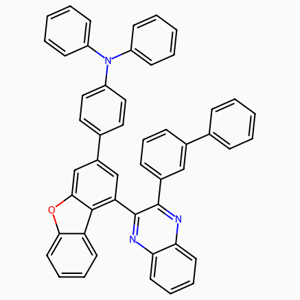 c1ccc(-c2cccc(-c3nc4ccccc4nc3-c3cc(-c4ccc(N(c5ccccc5)c5ccccc5)cc4)cc4oc5ccccc5c34)c2)cc1